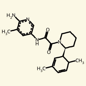 CC1=CC([C@@H]2CCCCN2C(=O)C(=O)Nc2cnc(N)c(C)c2)C(C)C=C1